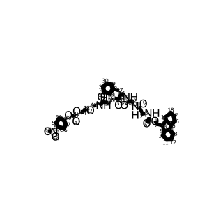 O=C(CNC(=O)OCC1c2ccccc2-c2ccccc21)NCC(=O)N[C@@H](Cc1ccccc1)C(=O)NCC(=O)NCOCCOC(=O)Oc1ccc([N+](=O)[O-])cc1